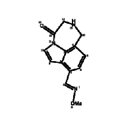 CON=Cc1ccc2c3c1ccn3C(=O)CNC2